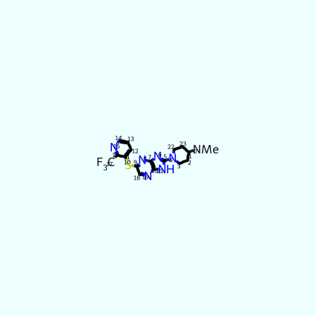 CNC1CCN(c2nc3nc(Sc4cccnc4C(F)(F)F)cnc3[nH]2)CC1